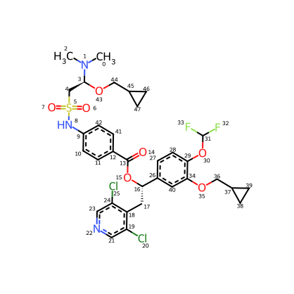 CN(C)[C@H](CS(=O)(=O)Nc1ccc(C(=O)O[C@@H](Cc2c(Cl)cncc2Cl)c2ccc(OC(F)F)c(OCC3CC3)c2)cc1)OCC1CC1